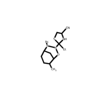 CCC1(N2OC3CC(CCC3C)N2C(C)=O)NC(C#N)CS1